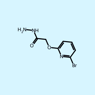 NNC(=O)COc1cccc(Br)n1